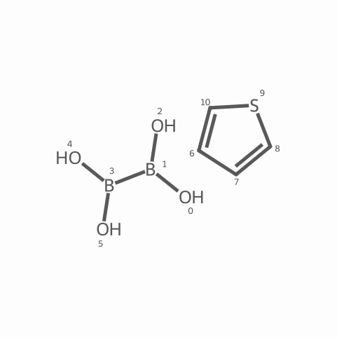 OB(O)B(O)O.c1ccsc1